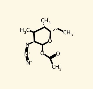 CC[C@@H]1O[C@@H](OC(C)=O)[C@@H](N=[N+]=[N-])C(C)[C@@H]1C